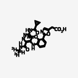 [2H]C([2H])([2H])NC(=O)c1nnc(NC(=O)C2CC2)cc1Nc1cccc(-c2ncc(CC(=O)O)o2)c1OC